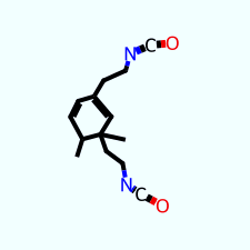 CC1C=CC(CCN=C=O)=CC1(C)CCN=C=O